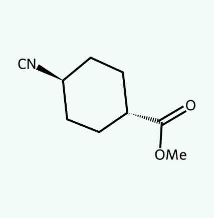 [C-]#[N+][C@H]1CC[C@H](C(=O)OC)CC1